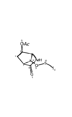 CC(=O)OC1CC2C(=O)NC1C2OSI